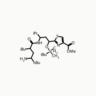 CCCCC(N)CC(C(=O)NC(CC(O[Si](C)(C)C(C)(C)C)c1nc(C(=O)OC)cs1)C(C)C)C(C)CC